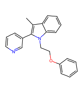 Cc1c(-c2cccnc2)n(CCOc2ccccc2)c2ccccc12